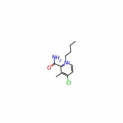 CCCC[n+]1ccc(Cl)c(C)c1C(N)=O